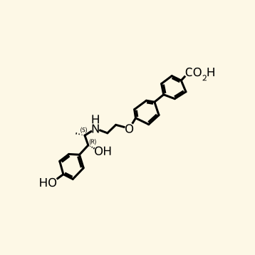 C[C@H](NCCOc1ccc(-c2ccc(C(=O)O)cc2)cc1)[C@H](O)c1ccc(O)cc1